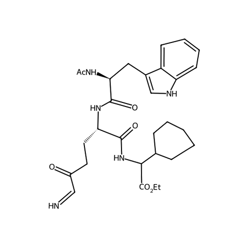 CCOC(=O)C(NC(=O)[C@H](CCC(=O)C=N)NC(=O)[C@H](Cc1c[nH]c2ccccc12)NC(C)=O)C1CCCCC1